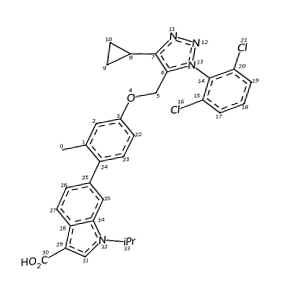 Cc1cc(OCc2c(C3CC3)nnn2-c2c(Cl)cccc2Cl)ccc1-c1ccc2c(C(=O)O)cn(C(C)C)c2c1